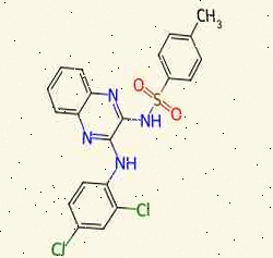 Cc1ccc(S(=O)(=O)Nc2nc3ccccc3nc2Nc2ccc(Cl)cc2Cl)cc1